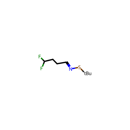 CC(C)(C)S/N=C/CCC(F)F